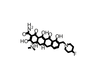 CN(C)[C@@H]1C(O)=C(C(N)=O)C(=O)C2C(O)=C3C(=O)c4c(ccc(CN5CCC(F)CC5)c4O)C[C@H]3C[C@H]21